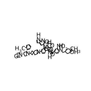 Cc1ccccc1[C@H]1C[C@@H](N2CCOCC2)CCN1C1CC2(CCN(c3ccc(C(=O)NS(=O)(=O)c4ccc(NCC5CCC(C)(O)CC5)c([N+](=O)[O-])c4)c(N4c5cc6cc[nH]c6nc5O[C@H]5COCC[C@@H]54)c3)CC2)C1